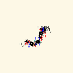 COC1(C(=O)Nc2ccc(S(=O)(=O)Nc3cc(F)c(C(=O)N[C@@H](Cc4ccc(-n5c(=O)c(C)c(C)n(C)c5=O)cc4)C(=O)O)cc3F)cc2)CC1